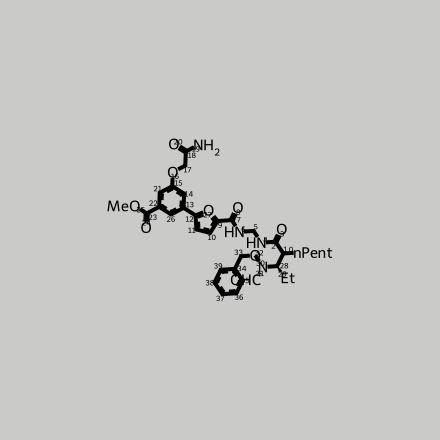 CCCCCC(C(=O)NCNC(=O)c1ccc(-c2cc(OCC(N)=O)cc(C(=O)OC)c2)o1)[C@@H](CC)N(C=O)OCc1ccccc1